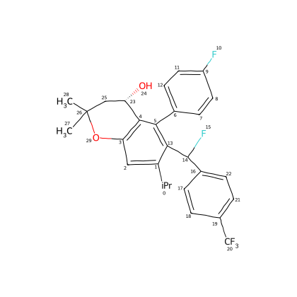 CC(C)c1cc2c(c(-c3ccc(F)cc3)c1C(F)c1ccc(C(F)(F)F)cc1)[C@@H](O)CC(C)(C)O2